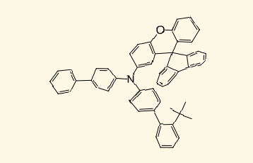 CC(C)(C)c1ccccc1-c1ccc(N(c2ccc(-c3ccccc3)cc2)c2ccc3c(c2)C2(c4ccccc4O3)c3ccccc3-c3ccccc32)cc1